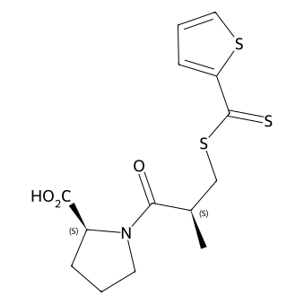 C[C@H](CSC(=S)c1cccs1)C(=O)N1CCC[C@H]1C(=O)O